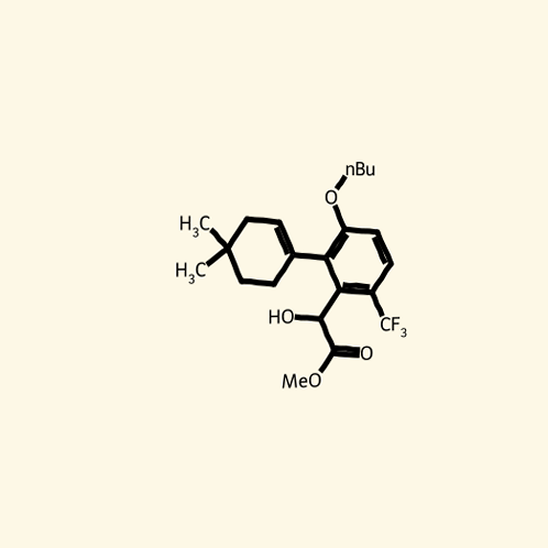 CCCCOc1ccc(C(F)(F)F)c(C(O)C(=O)OC)c1C1=CCC(C)(C)CC1